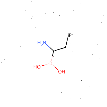 CC(C)CC(N)B(O)O